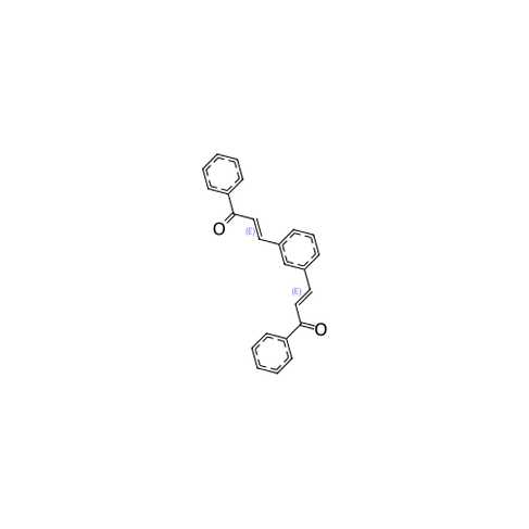 O=C(/C=C/c1cccc(/C=C/C(=O)c2ccccc2)c1)c1ccccc1